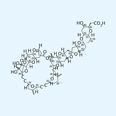 C=C1C[C@@H]2CC[C@]34OC5[C@@H]6O[C@H]7CC[C@H](CC(=O)O[C@@H]8[C@@H](C)[C@@H]9O[C@@H]%10C[C@]%11(C[C@@H]%12O[C@]%13(C[C@H](C)[C@@H]%14O[C@H](CC(=O)O)[C@H](O)C[C@@H]%14O%13)C[C@H](C)[C@@H]%12O%11)O[C@@H]%10C[C@@H]9O[C@H]8C[C@H]8O[C@@H](CC[C@@H]1O2)C[C@@H](C)C8=C)O[C@@H]7[C@H](O3)[C@@H]6O[C@@]5(O)[C@H]4O